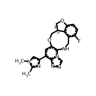 Cc1nc(-c2cc3c(n4cnnc24)NCc2c(F)ccc4c2[C@@H](CO4)CO3)cn1C